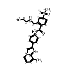 Cc1cccn2cc(-c3ccc(NC(=O)c4ccc(S(C)(=O)=O)cc4CNCCO)cc3)nc12